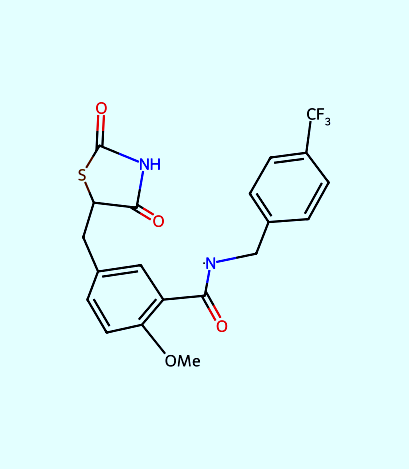 COc1ccc(CC2SC(=O)NC2=O)cc1C(=O)[N]Cc1ccc(C(F)(F)F)cc1